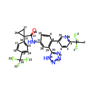 CC(F)(F)c1ccc(-c2ccc(NC(=O)C3(c4ccc(C(F)(F)F)cc4)CC3)cc2-c2nnn[nH]2)cn1